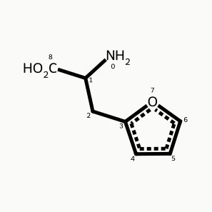 NC(Cc1ccco1)C(=O)O